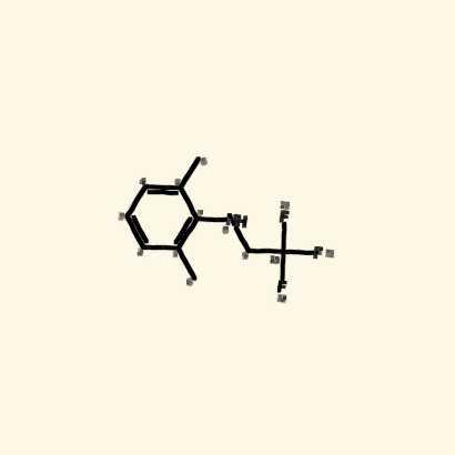 Cc1cccc(C)c1NCC(F)(F)F